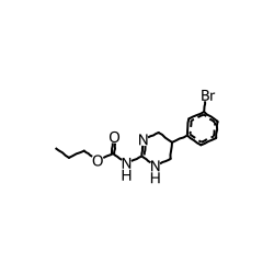 CCCOC(=O)NC1=NCC(c2cccc(Br)c2)CN1